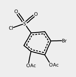 CC(=O)Oc1cc(S(=O)(=O)Cl)cc(Br)c1OC(C)=O